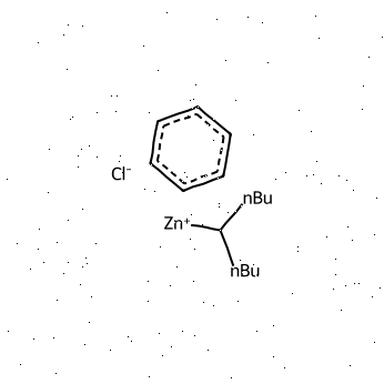 CCCC[CH]([Zn+])CCCC.[Cl-].c1ccccc1